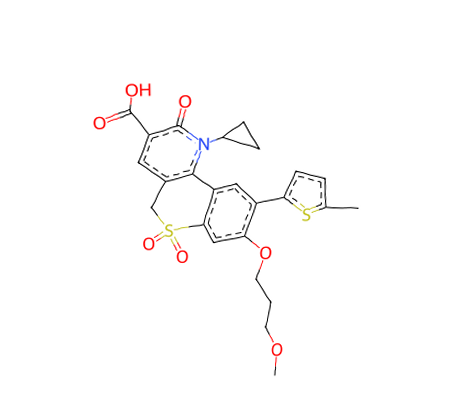 COCCCOc1cc2c(cc1-c1ccc(C)s1)-c1c(cc(C(=O)O)c(=O)n1C1CC1)CS2(=O)=O